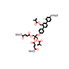 C=C(C)C(=O)OCc1cc(-c2ccc(CCCCCCC)cc2F)ccc1-c1ccc(OCC(COC(=O)/C=C/C(=O)OC)(COC(=O)/C=C/C(=O)OC)COC(=O)C(=C)C)cc1